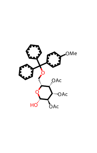 COc1ccc(C(OC[C@H]2O[C@@H](O)[C@H](OC(C)=O)[C@@H](OC(C)=O)[C@H]2OC(C)=O)(c2ccccc2)c2ccccc2)cc1